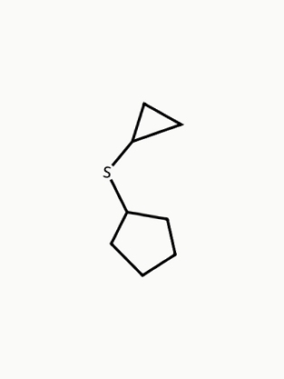 C1CCC(SC2CC2)C1